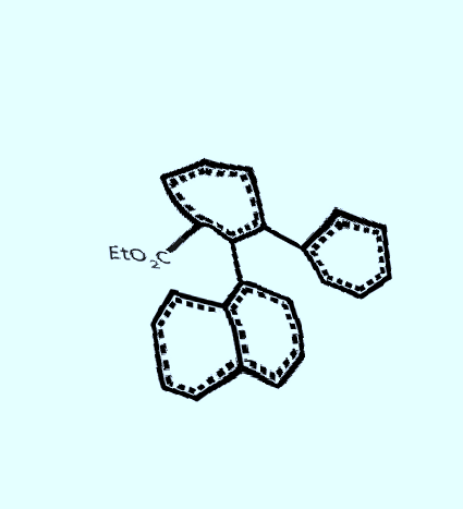 CCOC(=O)c1cccc(-c2ccccc2)c1-c1cccc2ccccc12